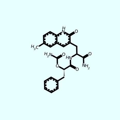 Cc1ccc2[nH]c(=O)c(CC(NC(=O)[C@H](Cc3ccccc3)OC(N)=O)C(N)=O)cc2c1